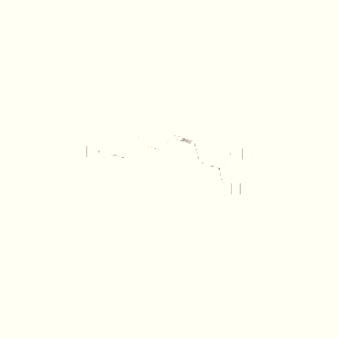 CCOC/C=C\CC(C)C